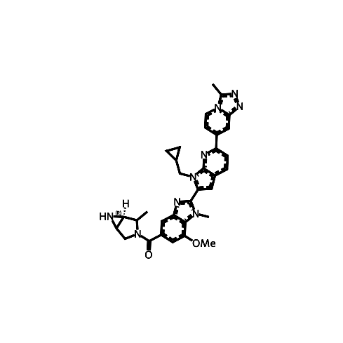 COc1cc(C(=O)N2CC3N[C@H]3C2C)cc2nc(-c3cc4ccc(-c5ccn6c(C)nnc6c5)nc4n3CC3CC3)n(C)c12